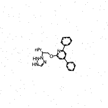 CCCC(COc1cc(-c2ccccc2)cc(-c2ccccc2)n1)N1N=CNN1